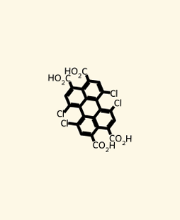 O=C(O)c1cc(Cl)c2c3c(Cl)cc(C(=O)O)c4c(C(=O)O)cc(Cl)c(c5c(Cl)cc(C(=O)O)c1c25)c43